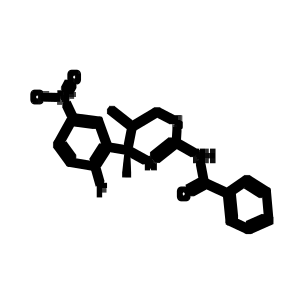 CC1CSC(NC(=O)c2ccccc2)=N[C@]1(C)c1cc([N+](=O)[O-])ccc1F